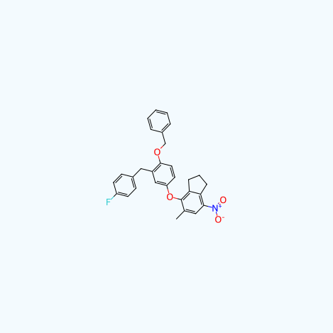 Cc1cc([N+](=O)[O-])c2c(c1Oc1ccc(OCc3ccccc3)c(Cc3ccc(F)cc3)c1)CCC2